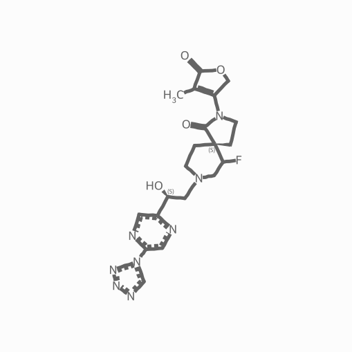 CC1=C(N2CC[C@@]3(CCN(C[C@H](O)c4cnc(-n5cnnn5)cn4)CC3F)C2=O)COC1=O